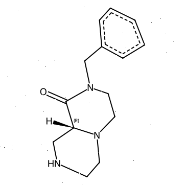 O=C1[C@H]2CNCCN2CCN1Cc1ccccc1